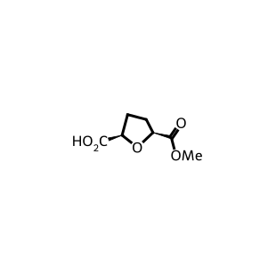 COC(=O)[C@@H]1CC[C@H](C(=O)O)O1